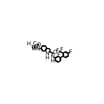 CS(=O)(=O)Nc1ccc2c(c1)NC(C(=O)Nc1cccc(-c3ccc(F)cc3C(F)(F)F)c1)C2